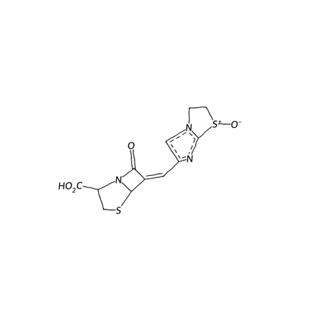 O=C(O)C1CSC2C(=Cc3cn4c(n3)[S+]([O-])CC4)C(=O)N12